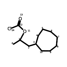 CC(CC1CCCCCCC1)OC(=O)Cl